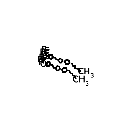 CCCCCCC[C@H]1CC[C@H](C2CCC(CCc3ccc(OC(F)(F)C(F)(F)F)cc3)CC2)CC1.CCCCCC[C@H]1CC[C@H](C2CCC(CCc3ccc(OC(F)(F)C(F)(F)F)cc3)CC2)CC1